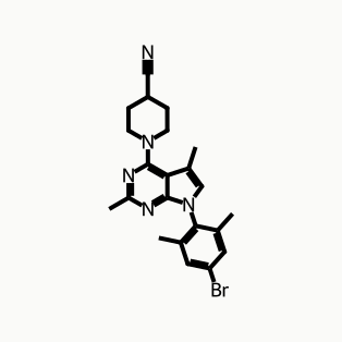 Cc1nc(N2CCC(C#N)CC2)c2c(C)cn(-c3c(C)cc(Br)cc3C)c2n1